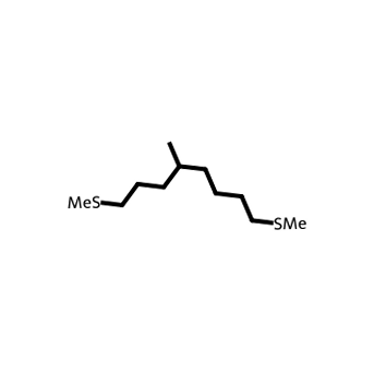 CSCCCCC(C)CCCSC